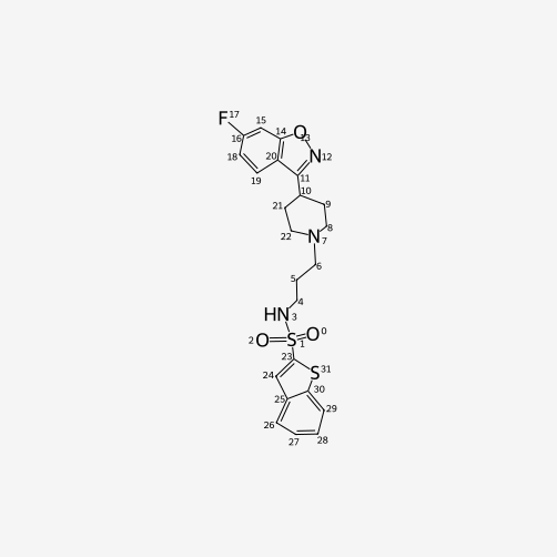 O=S(=O)(NCCCN1CCC(c2noc3cc(F)ccc23)CC1)c1cc2ccccc2s1